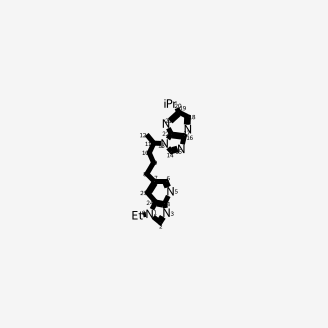 CCn1cnc2ncc(CCCC(C)n3cnc4ncc(C(C)C)nc43)cc21